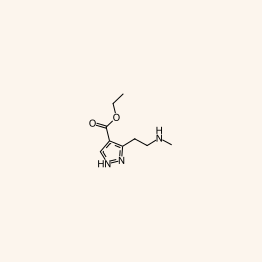 CCOC(=O)c1c[nH]nc1CCNC